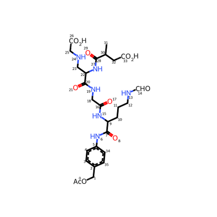 CC(=O)OCc1ccc(NC(=O)C(CCCNC=O)NC(=O)CNC(=O)C(CNCC(=O)O)NC(=O)C(C)CC(=O)O)cc1